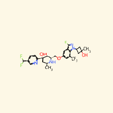 C[C@H]1C[C@@](O)(c2ccc(C(F)F)cn2)C[C@@H](COc2cc(C(F)(F)F)c3c(c2)c(F)nn3C2CC(C)(O)C2)N1